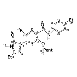 CCC[C@H](C)Oc1cc(-n2nc(CC)n(C)c2=O)c(F)cc1C(=O)Nc1ccc(CC)cc1